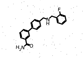 NC(=O)c1cccc(-c2ccc(CNCc3ccccc3F)cc2)c1